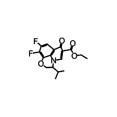 CCOC(=O)c1cn2c3c(c(F)c(F)cc3c1=O)OCC2C(C)C